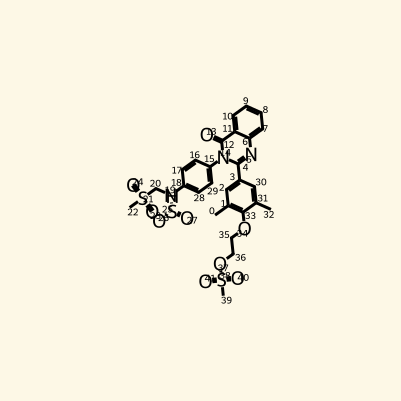 Cc1cc(-c2nc3ccccc3c(=O)n2-c2ccc(N(CS(C)(=O)=O)[SH](=O)=O)cc2)cc(C)c1OCCOS(C)(=O)=O